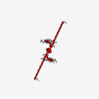 COCCOCCOCCOCCOCCOCCOCCOCCOCCOCC(=O)NCCCC[C@H](NC(=O)CCCNC(=O)[C@H]([C@@H](C(=O)NCCCC(=O)N[C@@H](CCCCNC(=O)COCCOCCOCCOCCOCCOCCOCCOCCOCCOC)C(=O)NCC(=O)NCC(=O)N[C@@H](C)C(=O)OC(C)(C)C)N1C(=O)C=CC1=O)N1C(=O)C=CC1=O)C(=O)NCC(=O)NCC(=O)N[C@@H](C)C(=O)OC(C)(C)C